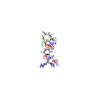 C=C1CSC(Cl)C(NS(=O)(=O)c2ccc3c(c2)N(CCOC)C(=C(C#N)C#N)O3)C(Cl)SC1